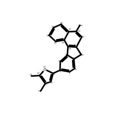 Cc1cc(-c2ccc3c(c2)-c2c(cc(C)c4ccccc24)C3)oc1C